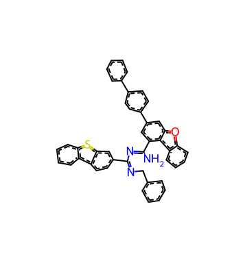 N/C(=N\C(=N/Cc1ccccc1)c1ccc2c(c1)sc1ccccc12)c1cc(-c2ccc(-c3ccccc3)cc2)cc2oc3ccccc3c12